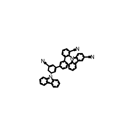 N#CC1=CC(c2cccc(-c3cccc(C#N)c3-n3c4ccccc4c4cc(C#N)ccc43)c2)=C[C@H](n2c3ccccc3c3ccccc32)C1